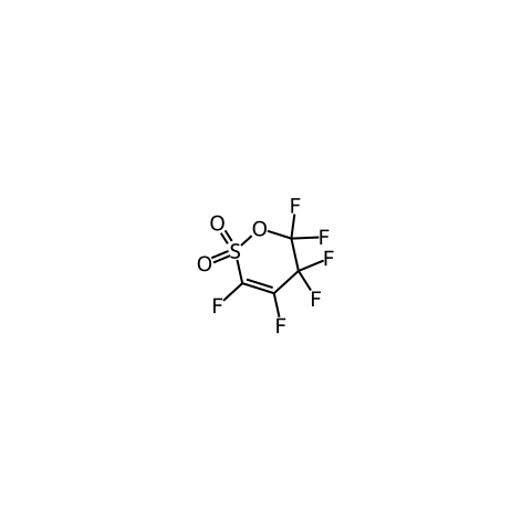 O=S1(=O)OC(F)(F)C(F)(F)C(F)=C1F